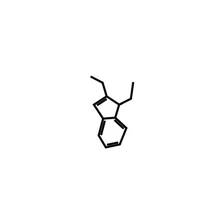 CC[C]1C(CC)=Cc2ccccc21